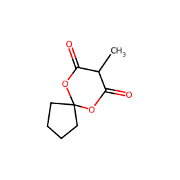 CC1C(=O)OC2(CCCC2)OC1=O